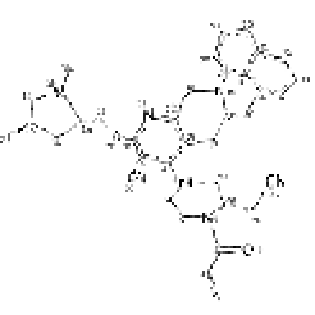 C=CC(=O)N1CCN(c2c(C#N)c(OC[C@@H]3C[C@@H](F)CN3C)nc3c2CCN(c2cccc4cccc(C)c24)C3)C[C@@H]1CC#N